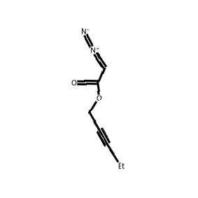 CCC#CCOC(=O)C=[N+]=[N-]